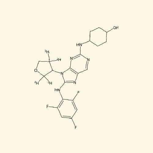 [2H]C1([2H])COC([2H])([2H])C1n1c(Nc2c(F)cc(F)cc2F)nc2cnc(NC3CCC(O)CC3)nc21